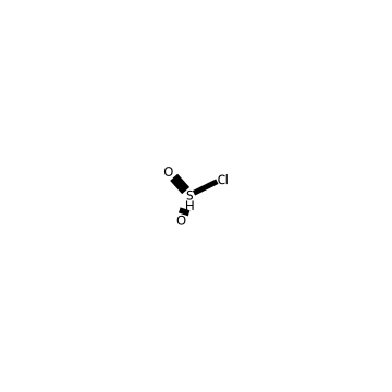 O=[SH](=O)Cl